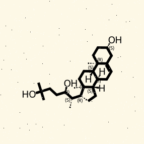 C[C@H]([C@H](O)CCC(C)(C)O)[C@H]1CC[C@H]2[C@@H]3CC=C4C[C@@H](O)CC[C@]4(C)[C@H]3CC[C@]12C